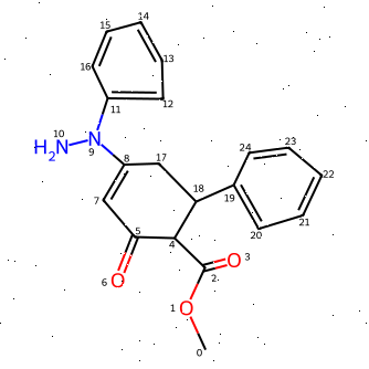 COC(=O)C1C(=O)C=C(N(N)c2ccccc2)CC1c1ccccc1